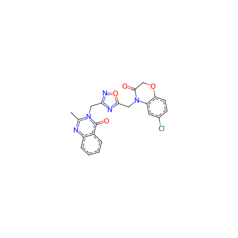 Cc1nc2ccccc2c(=O)n1Cc1noc(CN2C(=O)COc3ccc(Cl)cc32)n1